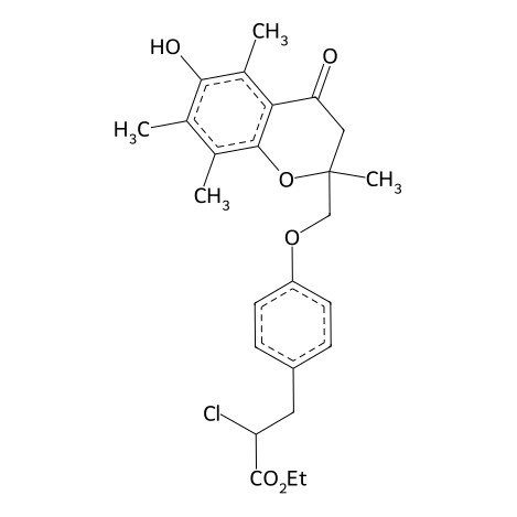 CCOC(=O)C(Cl)Cc1ccc(OCC2(C)CC(=O)c3c(C)c(O)c(C)c(C)c3O2)cc1